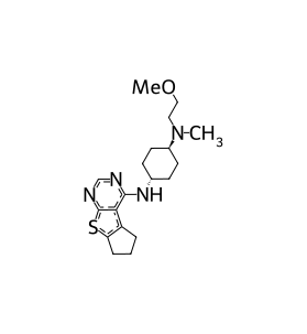 COCCN(C)[C@H]1CC[C@H](Nc2ncnc3sc4c(c23)CCC4)CC1